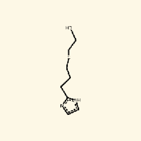 OCCCCCCc1ncc[nH]1